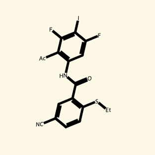 CCSc1ccc(C#N)cc1C(=O)Nc1cc(F)c(I)c(F)c1C(C)=O